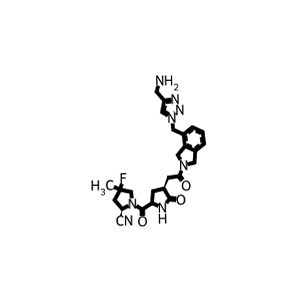 CC1(F)C[C@@H](C#N)N(C(=O)C2C[C@@H](CC(=O)N3Cc4cccc(Cn5cc(CN)nn5)c4C3)C(=O)N2)C1